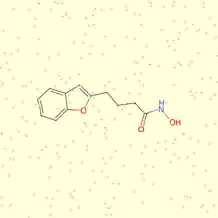 O=C(CCCc1cc2ccccc2o1)NO